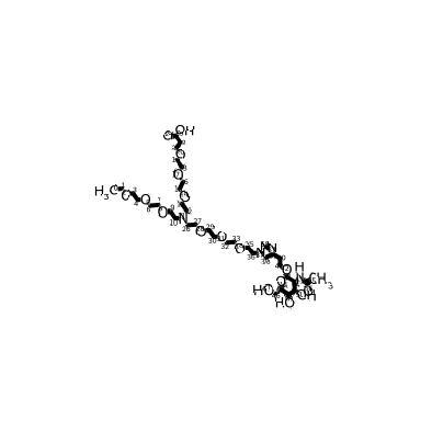 CCOCCOCCOCCN(CCOCCOCCOCCC(=O)O)CCOCCOCCOCCn1cc(CCO[C@@H]2O[C@H](CO)[C@H](O)[C@H](O)[C@H]2NC(C)=O)nn1